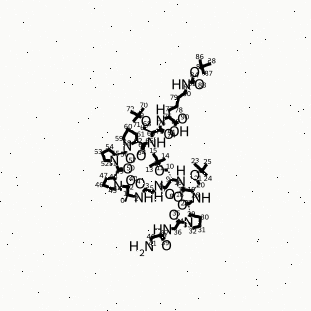 C[C@H](NC(=O)CNC(=O)[C@H](COC(C)(C)C)NC(=O)[C@H](COC(C)(C)C)NC(=O)[C@@H]1CCCN1C(=O)CNC(=O)CN)C(=O)N1CCC[C@H]1C(=O)N1CCC[C@H]1C(=O)N1CCC[C@H]1C(=O)N[C@@H](COC(C)(C)C)C(=O)N[C@@H](CCCCNC(=O)OC(C)(C)C)C(=O)O